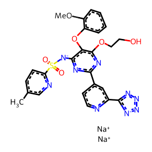 COc1ccccc1Oc1c([N-]S(=O)(=O)c2ccc(C)cn2)nc(-c2ccnc(-c3nnn[n-]3)c2)nc1OCCO.[Na+].[Na+]